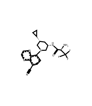 N#Cc1ccc(N2C[C@@H](NC(=O)[C@@H](N)C(F)(F)F)C[C@@H](C3CC3)C2)c2nccnc12